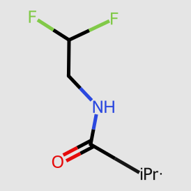 C[C](C)C(=O)NCC(F)F